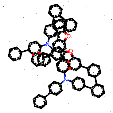 c1ccc(-c2ccc(N(c3ccc(-c4ccccc4-c4cccc(-c5ccc6c(c5)oc5cc(N(c7ccc(-c8ccccc8)cc7)c7ccc8c9ccccc9c9ccccc9c8c7)c(-c7ccccc7)cc56)c4)cc3)c3ccc(-c4cc5oc6ccccc6c5cc4-c4ccccc4)cc3)cc2)cc1